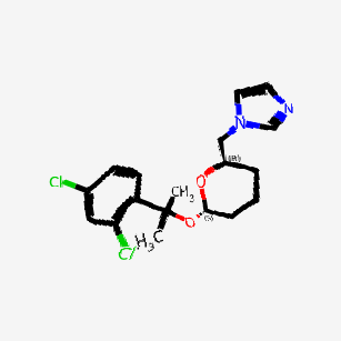 CC(C)(O[C@H]1CCC[C@H](Cn2ccnc2)O1)c1ccc(Cl)cc1Cl